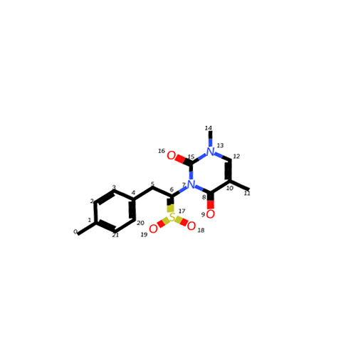 Cc1ccc(CC(n2c(=O)c(C)cn(C)c2=O)=S(=O)=O)cc1